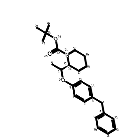 CC(Oc1ccc(Cc2ccccc2)cc1)[C@@H]1CCCCN1C(=O)OC(C)(C)C